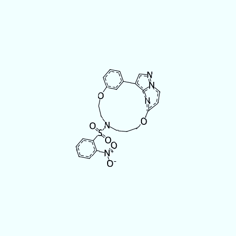 O=[N+]([O-])c1ccccc1S(=O)(=O)N1CCCOc2ccn3ncc(c3n2)-c2cccc(c2)OCC1